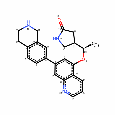 C[C@@H](Oc1cc(-c2ccc3c(c2)CNCC3)cc2ncccc12)C1CNC(=O)C1